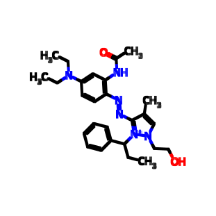 CCC(c1ccccc1)[n+]1c(N=Nc2ccc(N(CC)CC)cc2NC(C)=O)c(C)cn1CCO